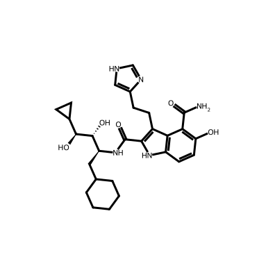 NC(=O)c1c(O)ccc2[nH]c(C(=O)N[C@@H](CC3CCCCC3)[C@@H](O)[C@@H](O)C3CC3)c(CCc3c[nH]cn3)c12